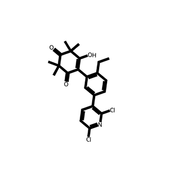 CCc1ccc(-c2ccc(Cl)nc2Cl)cc1C1=C(O)C(C)(C)C(=O)C(C)(C)C1=O